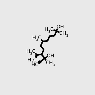 C#CC(C)(O)C(CCC(C)CCCC(C)(C)O)C(=C)C